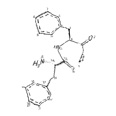 CCC(=O)[C@H](Cc1ccccc1)NC(=O)[C@@H](N)Cc1ccccc1